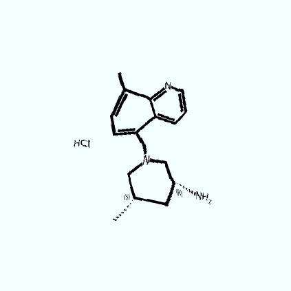 Cc1ccc(N2C[C@@H](C)C[C@@H](N)C2)c2cccnc12.Cl